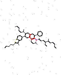 C=C\C=C/C=C(C)/C(C=C)=C/C=C(\C)N(c1ccccc1-c1ccccc1)C(C)/C=C\C(=C/C)c1ccc(C(C)/C=C\C=C/C)c(-c2ccc3sc(CCCC=C)c(C)c3c2)c1